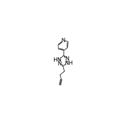 C#CCCC1=NNC(c2ccncc2)=NN1